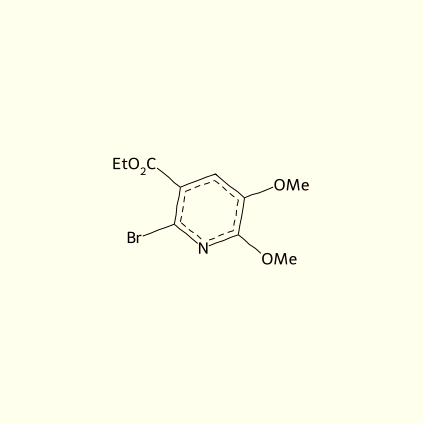 CCOC(=O)c1cc(OC)c(OC)nc1Br